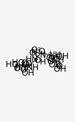 O=C(O)CCC(NC(=O)C(CC(=O)O)NC(=O)CCCNC(=O)c1cc(C(=O)NCCCC(=O)N[C@@H](CC(=O)O)C(=O)N[C@@H](CCC(=O)O)C(=O)O)cc([N+](=O)[O-])c1)C(=O)O